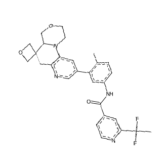 Cc1ccc(NC(=O)c2ccnc(C(C)(F)F)c2)cc1-c1cnc2c(c1)N1CCOCC1C1(COC1)C2